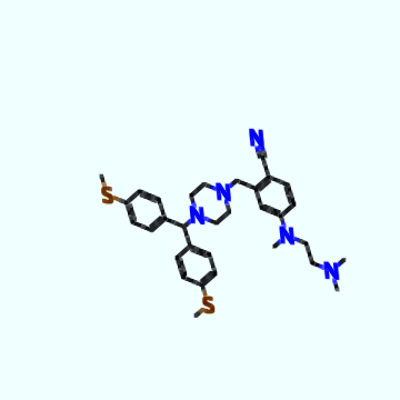 CSc1ccc(C(c2ccc(SC)cc2)N2CCN(Cc3cc(N(C)CCN(C)C)ccc3C#N)CC2)cc1